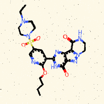 CCCCOc1ncc(S(=O)(=O)N2CCN(CC)CC2)cc1-c1nc2c3n(nc2c(=O)[nH]1)CCNC3=O